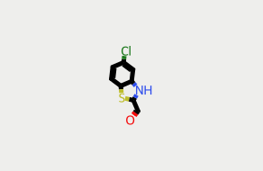 O=CC1NC2C=C(Cl)C=CC2S1